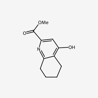 COC(=O)c1cc(O)c2c(n1)CCCC2